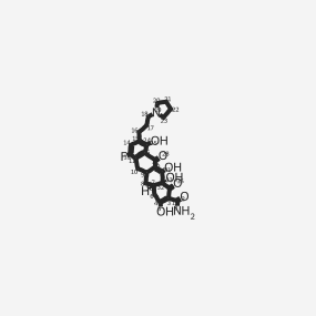 NC(=O)C1=C(O)C[C@@H]2CC3Cc4c(F)cc(CCCN5CCCC5)c(O)c4C(=O)C3=C(O)[C@]2(O)C1=O